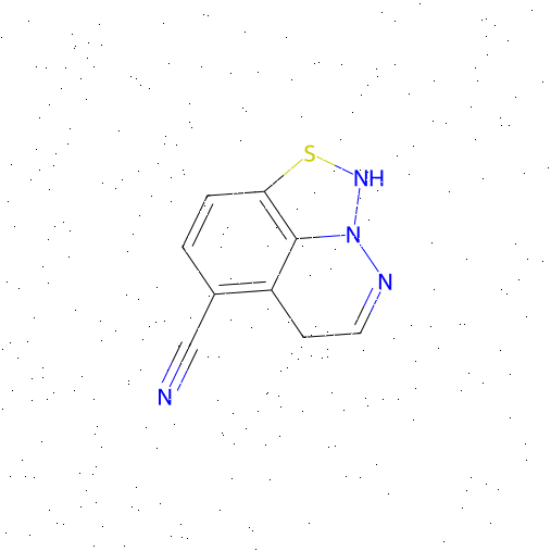 N#Cc1ccc2c3c1CC=NN3NS2